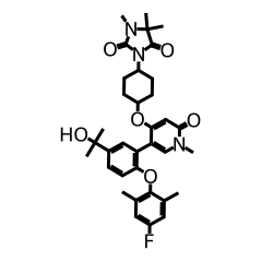 Cc1cc(F)cc(C)c1Oc1ccc(C(C)(C)O)cc1-c1cn(C)c(=O)cc1OC1CCC(N2C(=O)N(C)C(C)(C)C2=O)CC1